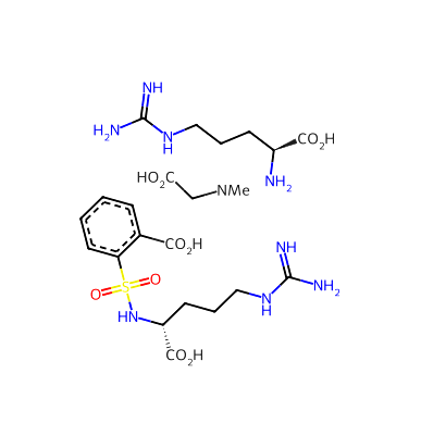 CNCC(=O)O.N=C(N)NCCC[C@@H](NS(=O)(=O)c1ccccc1C(=O)O)C(=O)O.N=C(N)NCCC[C@H](N)C(=O)O